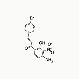 Nc1ccc(C(=O)C=Cc2ccc(Br)cc2)c(O)c1[N+](=O)[O-]